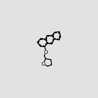 c1ccc2cc3c(OCC4CCCO4)cccc3cc2c1